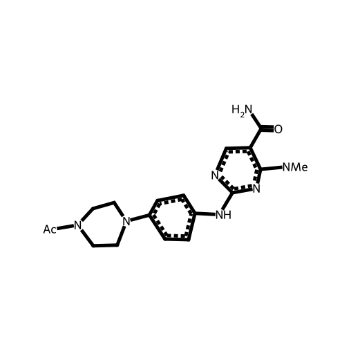 CNc1nc(Nc2ccc(N3CCN(C(C)=O)CC3)cc2)ncc1C(N)=O